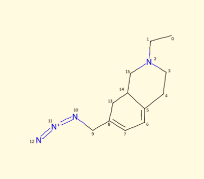 CCN1CCC2=CC=C(CN=[N+]=[N-])CC2C1